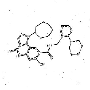 Cc1cc2[nH]c(=O)c3cnn(C4CCCCCC4)c3c2cc1C(=O)NCc1ccccc1N1CCOCC1